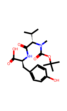 CC(C)[C@@H](C(=O)N[C@@H](Cc1ccc(O)cc1)C(=O)O)N(C)C(=O)OC(C)(C)C